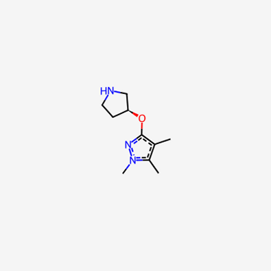 Cc1c(O[C@H]2CCNC2)nn(C)c1C